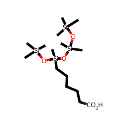 C[Si](C)(C)O[Si](C)(C)O[Si](C)(CCCCCC(=O)O)O[Si](C)(C)C